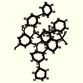 Cc1cc2c3c(c1)N(c1ccc(-c4ccccc4)cc1-c1ccc(C(C)(C)C)c(C(C)(C)C)c1)c1ccc(-c4ccccc4)cc1B3c1cc(-c3ccccc3)ccc1O2